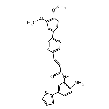 COc1ccc(-c2ccc(/C=C/C(=O)Nc3cc(-c4cccs4)ccc3N)cn2)cc1OC